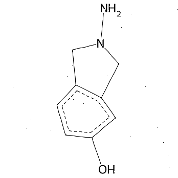 NN1Cc2ccc(O)cc2C1